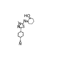 Cn1nc(-c2ccc(C#N)cc2)sc1=N[C@@H]1CCCC[C@H]1O